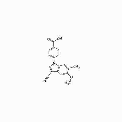 COc1cc2c(C#N)cn(-c3ccc(C(=O)O)cc3)c2cc1C